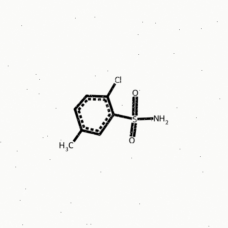 Cc1ccc(Cl)c(S(N)(=O)=O)c1